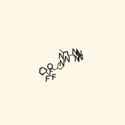 Cc1cc(-c2nnn(C)n2)nc(N2CCC(COc3ccccc3C(F)(F)F)C2)n1